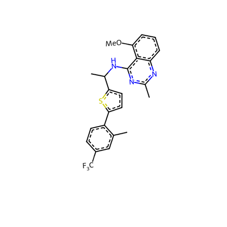 COc1cccc2nc(C)nc(NC(C)c3ccc(-c4ccc(C(F)(F)F)cc4C)s3)c12